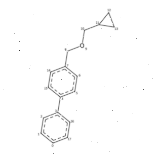 c1ccc(-c2ccc(COCC3CC3)cc2)cc1